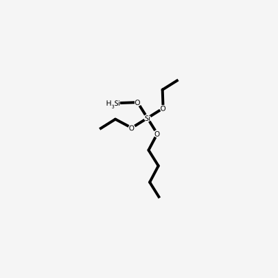 CCCCO[Si](O[SiH3])(OCC)OCC